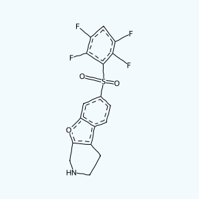 O=S(=O)(c1ccc2c3c(oc2c1)CNCC3)c1c(F)c(F)cc(F)c1F